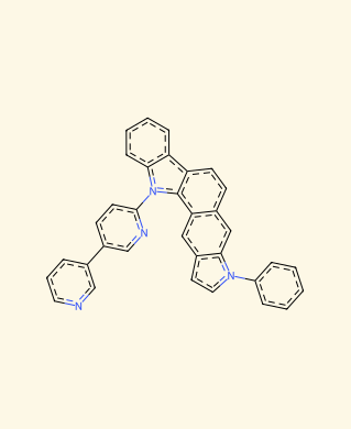 c1ccc(-n2ccc3cc4c(ccc5c6ccccc6n(-c6ccc(-c7cccnc7)cn6)c45)cc32)cc1